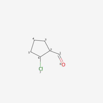 O=[C]C1CCCC1Cl